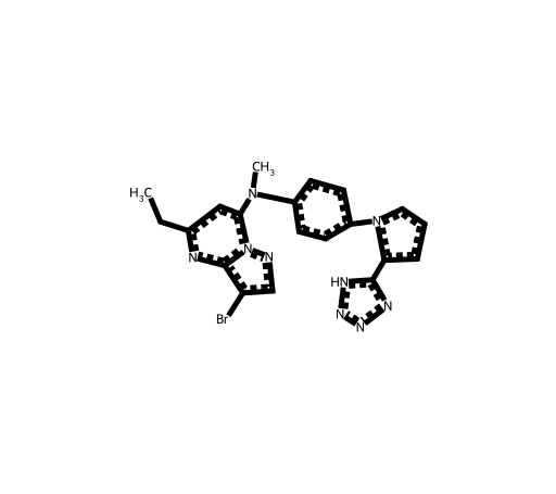 CCc1cc(N(C)c2ccc(-n3cccc3-c3nnn[nH]3)cc2)n2ncc(Br)c2n1